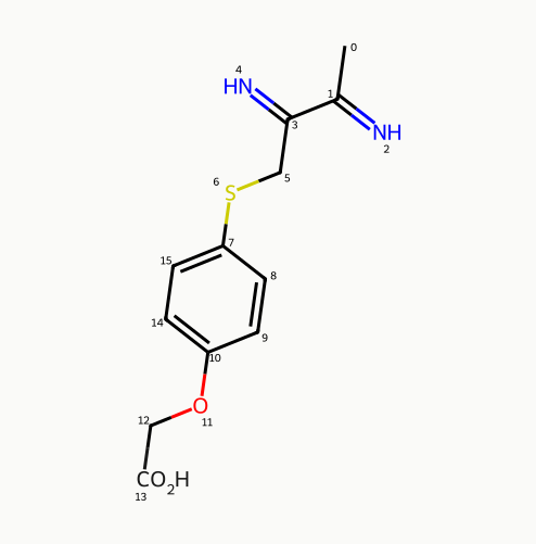 CC(=N)C(=N)CSc1ccc(OCC(=O)O)cc1